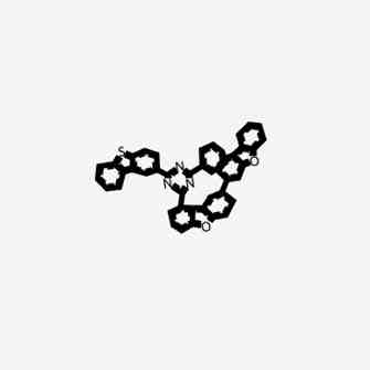 c1ccc(-c2nc(-c3ccc4sc5ccccc5c4c3)nc(-c3cccc4oc5ccc(-c6ccc7c(c6)oc6ccccc67)cc5c34)n2)cc1